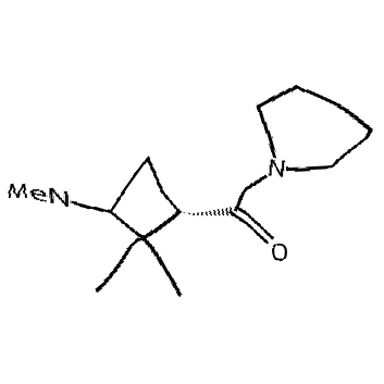 CNC1C[C@H](C(=O)N2CCCC2)C1(C)C